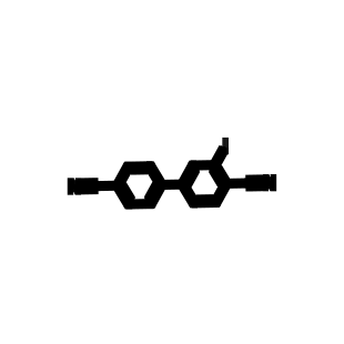 N#Cc1ccc(-c2ccc(C#N)c(I)c2)cc1